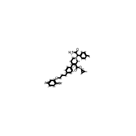 Cc1ccc(C(C(N)=O)N2CCC(c3ccc(CCCOc4cc(F)ccc4Br)cc3)=C(C(=O)OC3CC3)C2)cc1